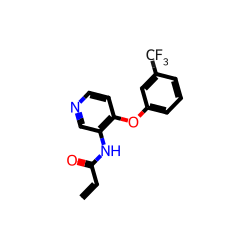 C=CC(=O)Nc1cnccc1Oc1cccc(C(F)(F)F)c1